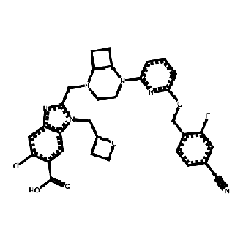 N#Cc1ccc(COc2cccc(N3CCN(Cc4nc5cc(Cl)c(C(=O)O)cc5n4CC4CCO4)C4CCC43)n2)c(F)c1